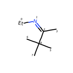 CCN=C(C)C(C)(C)C